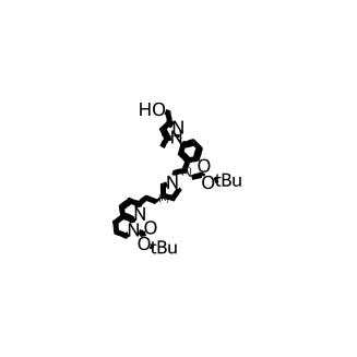 Cc1cc(CO)nn1-c1cccc([C@H](CC(=O)OC(C)(C)C)CN2CC[C@@H](CCc3ccc4c(n3)N(C(=O)OC(C)(C)C)CCC4)C2)c1